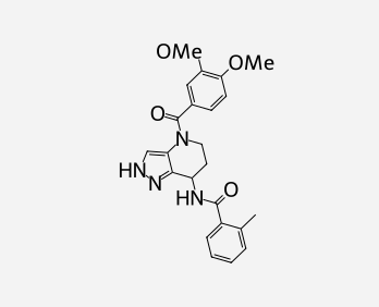 COc1ccc(C(=O)N2CCC(NC(=O)c3ccccc3C)c3n[nH]cc32)cc1OC